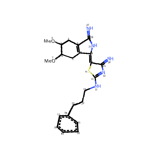 COC1CC2=C(CC1OC)/C(=C1\SC(NCCCc3ccccc3)=NC1=N)NC2=N